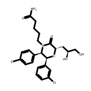 NC(=O)CCCCN1C(=O)[C@H](C[C@H](O)CO)O[C@@H](c2cccc(Cl)c2)[C@H]1c1ccc(Cl)cc1